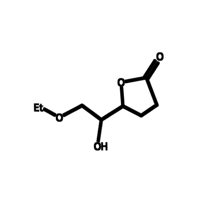 CCOCC(O)C1CCC(=O)O1